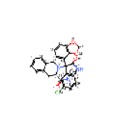 CN(C)C(=O)[C@@H]1Cc2ccccc2CN1C1(c2cccc3c2OCO3)C(=O)Nc2ccc(Cl)cc21